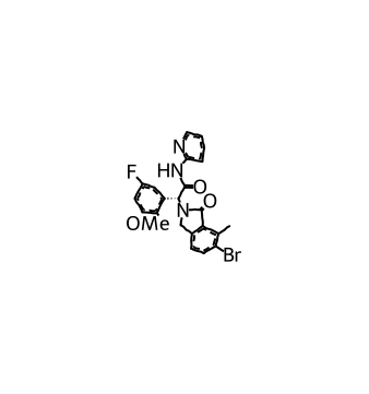 COc1ccc(F)cc1[C@H](C(=O)Nc1ccccn1)N1Cc2ccc(Br)c(C)c2C1=O